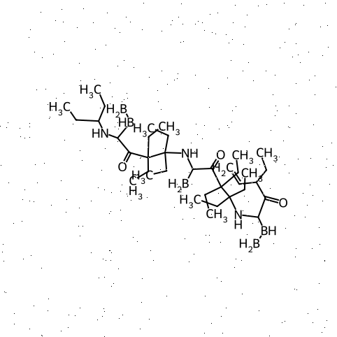 BBC(NC(CC)(CC)C(CC)(CC)C(=O)C(B)NC(CC)(CC)C(CC)(CC)C(=O)C(BB)NC(CC)CC)C(=O)C(C=C)CC